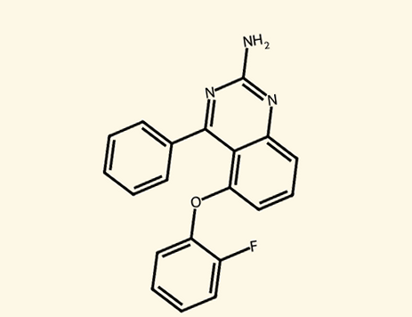 Nc1nc(-c2ccccc2)c2c(Oc3ccccc3F)cccc2n1